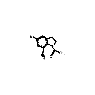 CC(=O)N1CCc2cc(Br)cc(C#N)c21